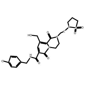 O=C(NCc1ccc(Cl)cc1)c1cc(CO)c2n(c1=O)CCN(CCN1CCCS1(=O)=O)C2=O